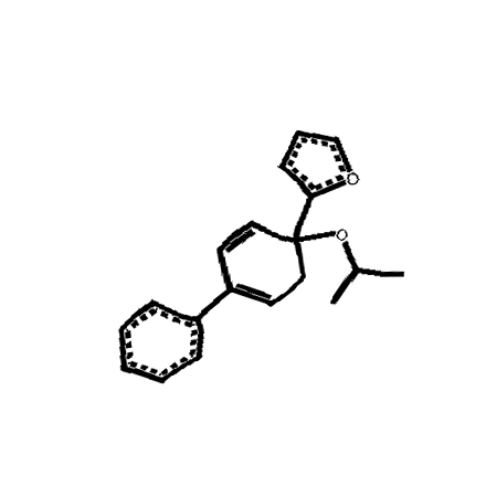 CC(C)OC1(c2ccco2)C=CC(c2ccccc2)=CC1